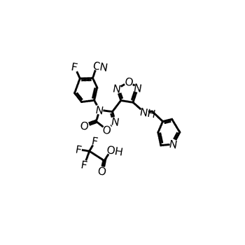 N#Cc1cc(-n2c(-c3nonc3NCc3ccncc3)noc2=O)ccc1F.O=C(O)C(F)(F)F